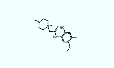 COc1cc(NC(=O)C[N+]2(C)CCN(C)CC2)c(O)cc1C